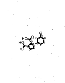 O=C(O)c1ccn(-c2cccc(Cl)c2)c1C(=O)O